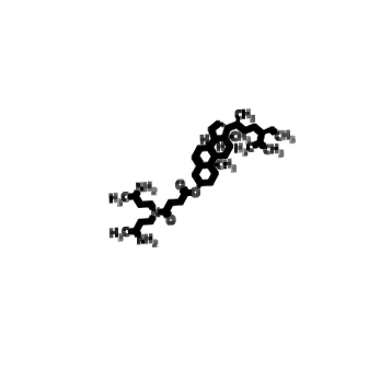 CC[C@H](CC[C@@H](C)[C@H]1CC[C@H]2[C@@H]3CC=C4C[C@@H](OC(=O)CCC(=O)N(CCC(C)N)CCC(C)N)CC[C@]4(C)C3CC[C@]12C)C(C)C